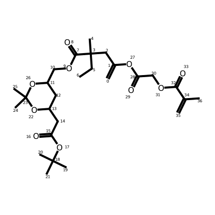 C=C(CC(C)(CC)C(=O)OCC1CC(CC(=O)OC(C)(C)C)OC(C)(C)O1)OC(=O)COC(=O)C(=C)C